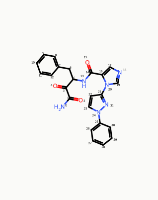 NC(=O)C(=O)C(Cc1ccccc1)NC(=O)c1cncn1-c1ccn(-c2ccccc2)n1